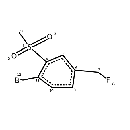 CS(=O)(=O)c1cc(CF)ccc1Br